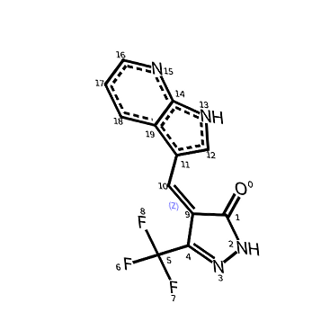 O=C1NN=C(C(F)(F)F)/C1=C/c1c[nH]c2ncccc12